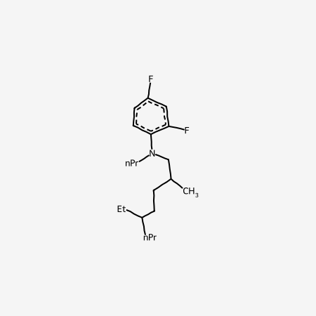 CCCC(CC)CCC(C)CN(CCC)c1ccc(F)cc1F